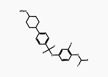 CCCCCC1CCC(c2ccc(C(F)(F)Oc3ccc(OC(F)F)c(F)c3)cc2)CC1